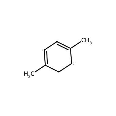 CC1=[C]C=C(C)[C]C1